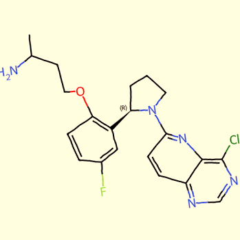 CC(N)CCOc1ccc(F)cc1[C@H]1CCCN1c1ccc2ncnc(Cl)c2n1